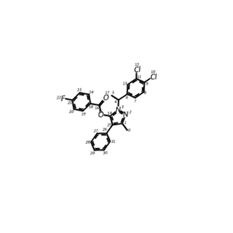 Cc1nn(C(C)c2ccc(Cl)c(Cl)c2)c(OC(=O)c2ccc(F)cc2)c1-c1ccccc1